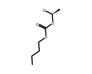 CCCCOC(=O)O[C@H](C)[O]